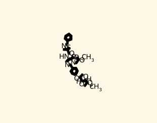 COC(=O)Cn1c(-c2ccc(O[C@@H]3CO[C@H]4[C@@H]3OC[C@H]4OC)cc2)ncc(NC(=O)c2cnc(-c3ccccc3)s2)c1=O